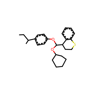 CCC(C)c1ccc(OC(OC2CCCCC2)C2CCSc3ccccc32)cc1